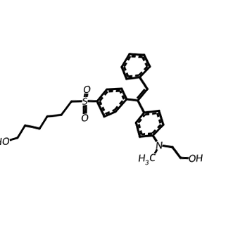 CN(CCO)c1ccc(C(=Cc2ccccc2)c2ccc(S(=O)(=O)CCCCCCO)cc2)cc1